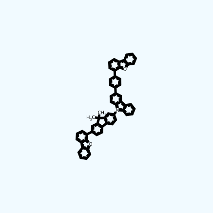 CC1(C)c2cc(-c3cccc4c3oc3ccccc34)ccc2-c2ccc(-n3c4ccccc4c4cc(-c5ccc(-c6cccc7c6oc6ccccc67)cc5)ccc43)cc21